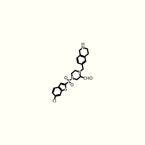 O=CC1CN(S(=O)(=O)c2cc3ccc(Cl)cc3s2)CCN1Cc1ccc2c(c1)CCNC2